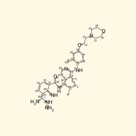 Cc1ccc2c(Nc3ccc(OCCN4CCOCC4)cc3F)nccc2c1NC(=O)C1=CC=C/C(=C(\N)NN)C1=N